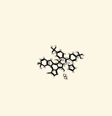 CC1=CC=c2c1c1c(c3c2=C(C)[CH]([Zr+2](=[C](c2ccc(C(C)(C)C)cc2)c2ccc(C(C)(C)C)cc2)[CH]2C=CC=C2)C3(C)C)CC2=C1CC(C)(C)C=C2.[Cl-].[Cl-]